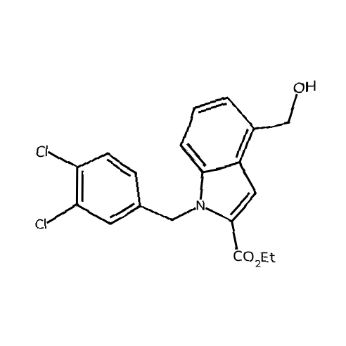 CCOC(=O)c1cc2c(CO)cccc2n1Cc1ccc(Cl)c(Cl)c1